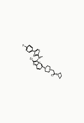 CCc1nc2ccc(N3CCN(CC(=O)N4CCC4)CC3)cn2c1N(C)c1nc(-c2ccc(F)cc2)cs1